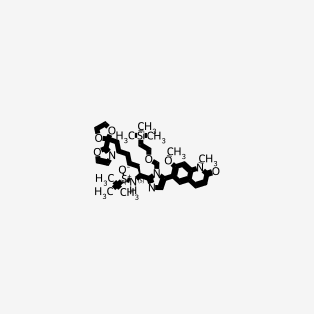 COc1cc2c(ccc(=O)n2C)cc1-c1cnc([C@H](CCCCCC2(c3ncco3)OCCO2)N[S@@+]([O-])C(C)(C)C)n1COCC[Si](C)(C)C